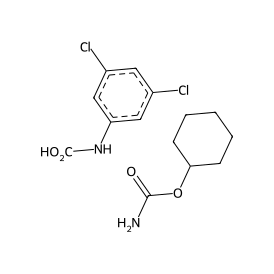 NC(=O)OC1CCCCC1.O=C(O)Nc1cc(Cl)cc(Cl)c1